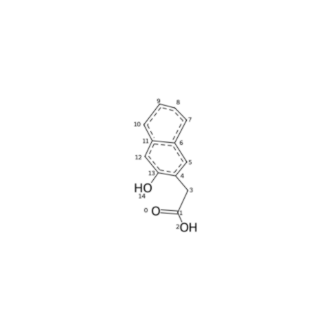 O=C(O)Cc1cc2ccccc2cc1O